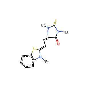 CCN1C(=O)/C(=C\C=C2/Sc3ccccc3N2CC)N(CC)C1=S